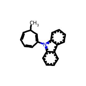 CC1C=CC=CC(n2c3ccccc3c3ccccc32)=C1